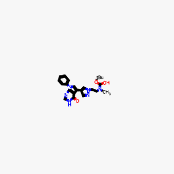 CN(CCn1cc(-c2cn(-c3ccccc3)c3nc[nH]c(=O)c23)cn1)C(O)OC(C)(C)C